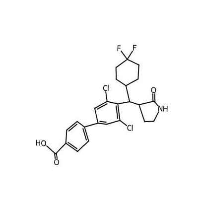 O=C(O)c1ccc(-c2cc(Cl)c(C(C3CCC(F)(F)CC3)C3CCNC3=O)c(Cl)c2)cc1